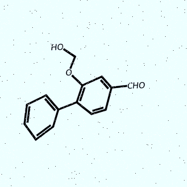 O=Cc1ccc(-c2cc[c]cc2)c(OCO)c1